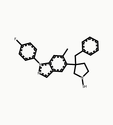 Cc1cc2c(cnn2-c2ccc(F)cc2)cc1C1(Cc2ccccc2)CCN(S)C1